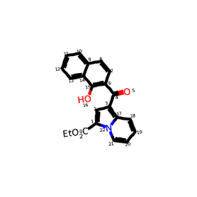 CCOC(=O)c1cc(C(=O)c2ccc3ccccc3c2O)c2ccccn12